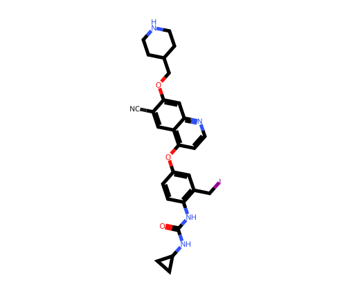 N#Cc1cc2c(Oc3ccc(NC(=O)NC4CC4)c(CI)c3)ccnc2cc1OCC1CCNCC1